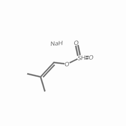 CC(C)=CO[SH](=O)=O.[NaH]